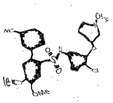 COc1cc(-c2cccc(C#N)c2)c(S(=O)(=O)Nc2ccc(Cl)c(OC3CCN(C)C3)c2)cc1OC